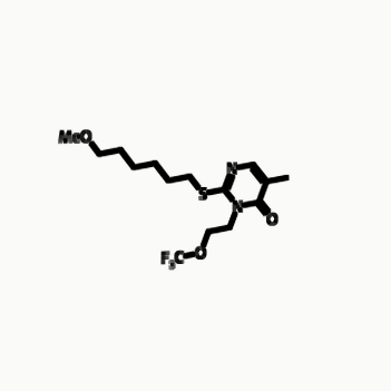 COCCCCCCSc1ncc(C)c(=O)n1CCOC(F)(F)F